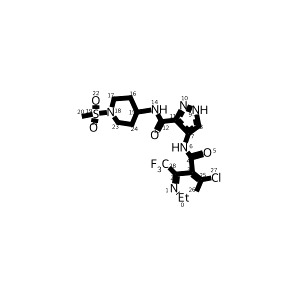 CC/N=C(\C(C(=O)Nc1c[nH]nc1C(=O)NC1CCN(S(C)(=O)=O)CC1)=C(/C)Cl)C(F)(F)F